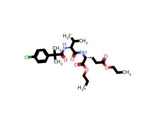 CCCOC(=O)CC[C@@H](NC(=O)[C@@H](NC(=O)C(C)(C)c1ccc(Cl)cc1)C(C)C)C(=O)OCCC